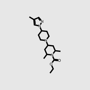 CCOC(=O)N1C(C)CC(N2CCC(n3cc(C)cn3)CC2)CC1C